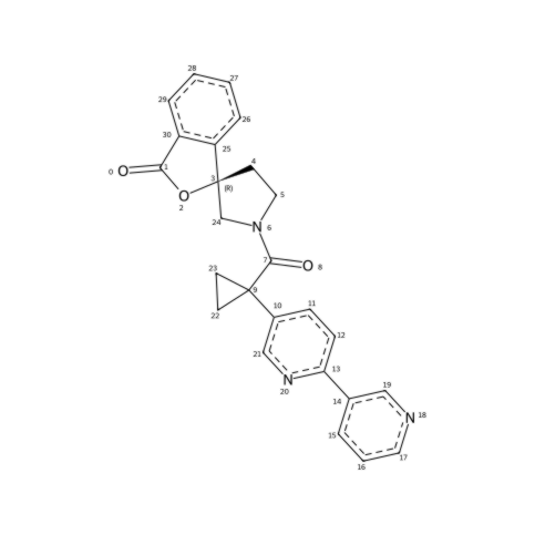 O=C1O[C@]2(CCN(C(=O)C3(c4ccc(-c5cccnc5)nc4)CC3)C2)c2ccccc21